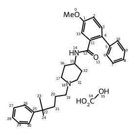 COc1ccc(-c2ccccc2)c(C(=O)NC2CCN(CCCC(C)(C)c3ccccc3)CC2)c1.O=C(O)O